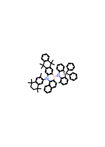 Cc1cc2c(cc1N1c3cc4c(cc3B(N3c5ccccc5[Si](c5ccccc5)(c5ccccc5)c5cccc(C)c53)c3ccc5ccccc5c31)C(C)(C)c1ccccc1C4(C)C)C(C)(C)CCC2(C)C